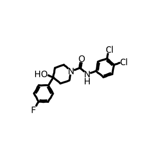 O=C(Nc1ccc(Cl)c(Cl)c1)N1CCC(O)(c2ccc(F)cc2)CC1